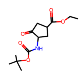 CCOC(=O)C1CC(=O)C(NC(=O)OC(C)(C)C)C1